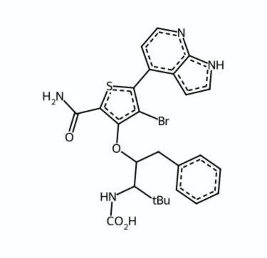 CC(C)(C)C(NC(=O)O)C(Cc1ccccc1)Oc1c(C(N)=O)sc(-c2ccnc3[nH]ccc23)c1Br